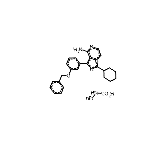 CCCNC(=O)O.Nc1nccn2c(C3CCCCC3)nc(-c3cccc(OCc4ccccc4)c3)c12